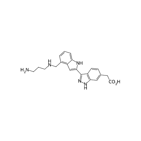 NCCCNCc1cccc2[nH]c(-c3n[nH]c4cc(CC(=O)O)ccc34)cc12